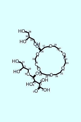 O=C(O)C(O)C(O)C(=O)OCC(O)CO.O=C1COCCOCCOCCOCCOCCO1.OCC(O)CO